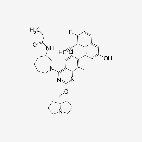 C#Cc1c(F)ccc2cc(O)cc(-c3c(Cl)cc4c(N5CCCCC(NC(=O)C=C)C5)nc(OCC56CCCN5CCC6)nc4c3F)c12